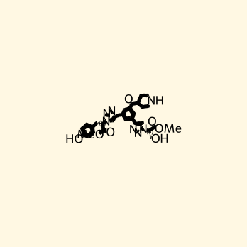 COC(=O)[C@H](CO)n1cc(-c2cc(C(=O)C3CCNCC3)cc(-c3cn([C@@H](Cc4ccc(O)cc4)C(=O)OC)nn3)c2)nn1